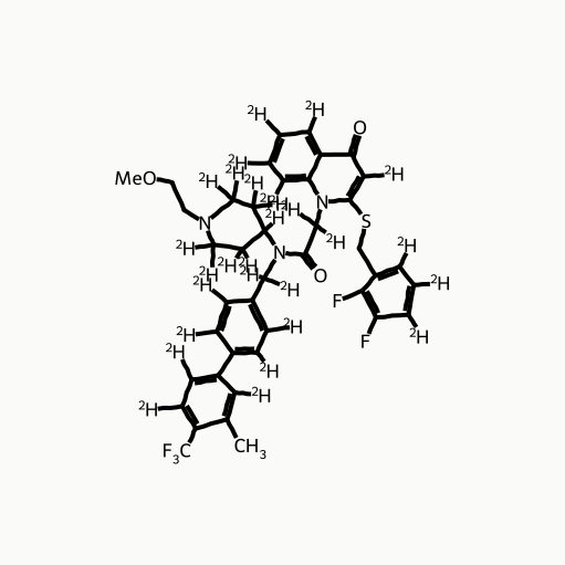 [2H]c1c([2H])c(F)c(F)c(CSc2c([2H])c(=O)c3c([2H])c([2H])c([2H])c([2H])c3n2C([2H])([2H])C(=O)N(C([2H])([2H])c2c([2H])c([2H])c(-c3c([2H])c([2H])c(C(F)(F)F)c(C)c3[2H])c([2H])c2[2H])C2([2H])C([2H])([2H])C([2H])([2H])N(CCOC)C([2H])([2H])C2([2H])[2H])c1[2H]